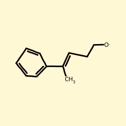 CC(=CCC[O])c1ccccc1